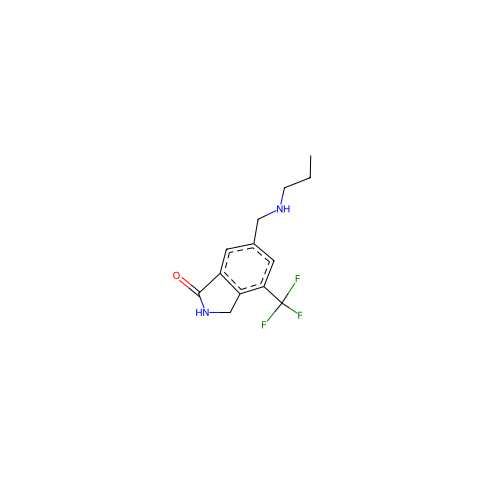 CCCNCc1cc2c(c(C(F)(F)F)c1)CNC2=O